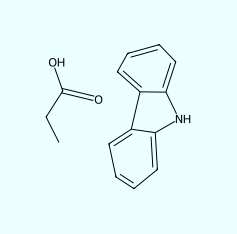 CCC(=O)O.c1ccc2c(c1)[nH]c1ccccc12